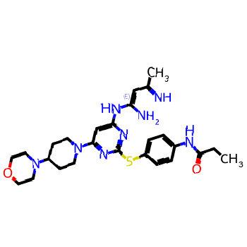 CCC(=O)Nc1ccc(Sc2nc(N/C(N)=C/C(C)=N)cc(N3CCC(N4CCOCC4)CC3)n2)cc1